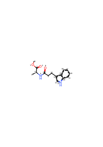 COC(=O)[C@H](C)NC(=O)CCc1c[nH]c2ccccc12